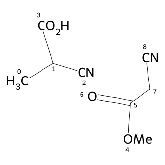 CC(C#N)C(=O)O.COC(=O)CC#N